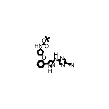 CC(C)(C)OC(=O)N[C@@H]1CC[C@H](Oc2ccccc2-c2cc(Nc3cnc(C#N)cn3)n[nH]2)C1